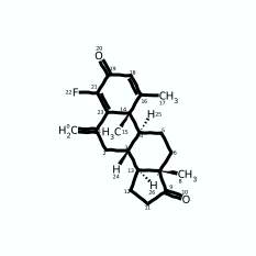 C=C1C[C@@H]2[C@H](CC[C@]3(C)C(=O)CC[C@@H]23)[C@@]2(C)C(C)=CC(=O)C(F)=C12